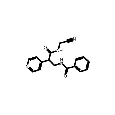 N#CCNC(=O)C(CNC(=O)c1ccccc1)c1ccncc1